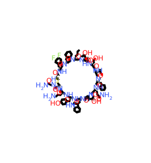 CCCC[C@H]1C(=O)N2C[C@H](O)C[C@@H]2C(=O)N[C@@H](CC(=O)O)C(=O)N[C@@H](C(C)C)C(=O)N(C)[C@H](Cc2ccccc2)C(=O)N[C@@H](CCC(N)=O)C(=O)N2C[C@H](O)C[C@@H]2C(=O)N[C@@H](Cc2c[nH]c3ccccc23)C(=O)N[C@@H](Cc2ccc(O)cc2)C(=O)N[C@@H](CCCN)C(=O)N[C@H](C(=O)NCC(N)=O)CSCC(=O)N[C@@H](Cc2ccc(F)c(F)c2)C(=O)N(C)[C@@H](Cc2ccccc2)C(=O)N1C